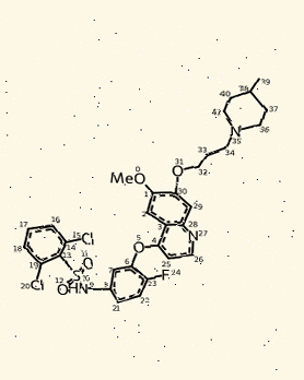 COc1cc2c(Oc3cc(NS(=O)(=O)c4c(Cl)cccc4Cl)ccc3F)ccnc2cc1OCCCN1CCC(C)CC1